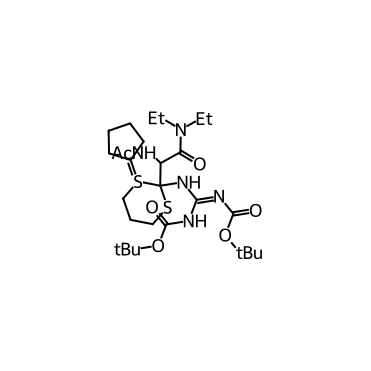 CCN(CC)C(=O)C(NC(C)=O)C1(NC(=NC(=O)OC(C)(C)C)NC(=O)OC(C)(C)C)SCCCS1=C1CCCC1